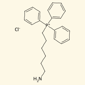 NCCCCCC[P+](c1ccccc1)(c1ccccc1)c1ccccc1.[Cl-]